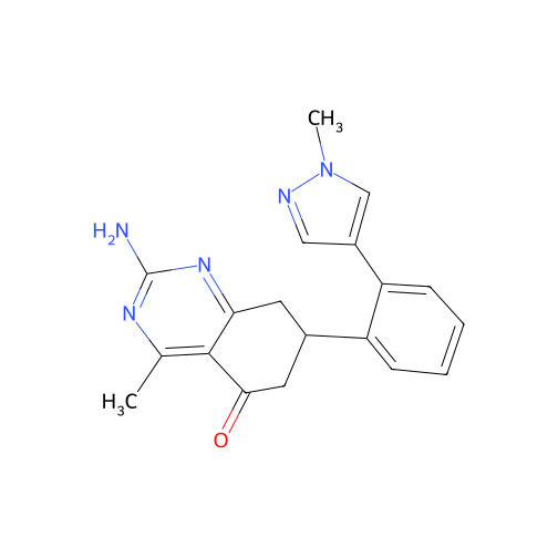 Cc1nc(N)nc2c1C(=O)CC(c1ccccc1-c1cnn(C)c1)C2